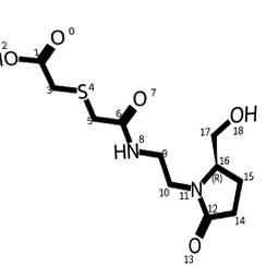 O=C(O)CSCC(=O)NCCN1C(=O)CC[C@@H]1CO